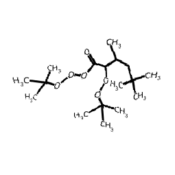 CC(CC(C)(C)C)C(OOC(C)(C)C)C(=O)OOOC(C)(C)C